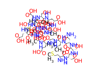 CSCC[C@H](N)C(=O)N[C@@H](CC(=O)O)C(=O)N[C@@H](CO)C(=O)N[C@@H](CC(N)=O)C(=O)N[C@@H](CC(C)C)C(=O)NCC(=O)N[C@@H](CCC(=O)O)C(=O)N[C@@H](C)C(=O)N[C@@H](C)C(=O)N[C@@H](CO)C(=O)NCC(=O)N[C@@H](CS)C(=O)N[C@@H](CCC(=O)O)C(=O)N[C@@H](CO)C(=O)N[C@@H](CCC(=O)O)C(=O)N[C@H](C(=O)N[C@@H](CO)C(=O)N[C@H](C(=O)N[C@@H](CO)C(=O)N[C@@H](CCC(=O)O)C(=O)O)C(C)C)[C@@H](C)O